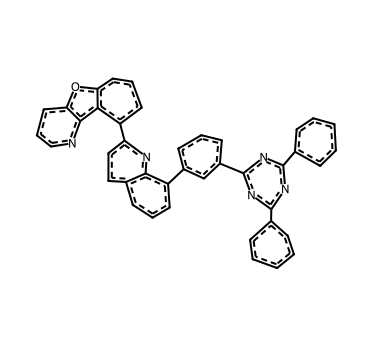 c1ccc(-c2nc(-c3ccccc3)nc(-c3cccc(-c4cccc5ccc(-c6cccc7oc8cccnc8c67)nc45)c3)n2)cc1